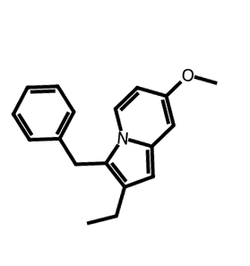 CCc1cc2cc(OC)ccn2c1Cc1ccccc1